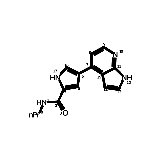 CCCNC(=O)c1cc(-c2ccnc3[nH]ccc23)c[nH]1